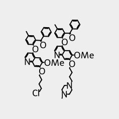 COc1cc2c(Oc3ccc(C)cc3C(=O)c3ccccc3)ccnc2cc1OCCCCCl.COc1cc2c(Oc3ccc(C)cc3C(=O)c3ccccc3)ccnc2cc1OCCCCN1CCN(C)CC1